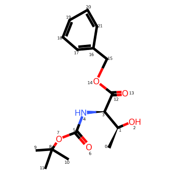 C[C@H](O)[C@@H](NC(=O)OC(C)(C)C)C(=O)OCc1ccccc1